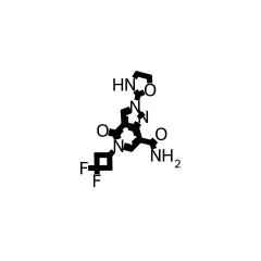 NC(=O)c1cn(C2CC(F)(F)C2)c(=O)c2cn(C3NCCO3)nc12